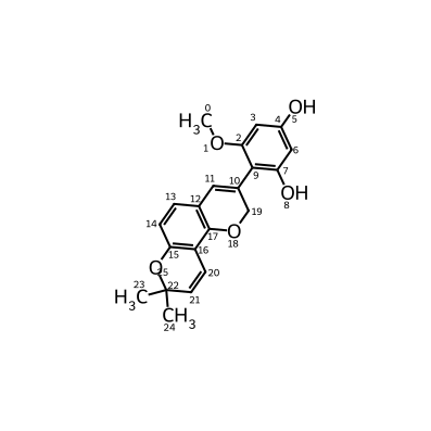 COc1cc(O)cc(O)c1C1=Cc2ccc3c(c2OC1)C=CC(C)(C)O3